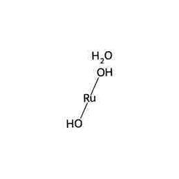 O.[OH][Ru][OH]